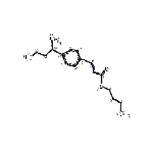 CCCCOC(=O)/C=C/c1ccc(C(C)CCC)cc1